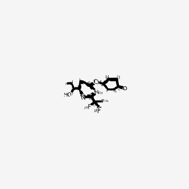 CCC(O)c1cc(OC2CCC(=O)CC2)nc(C(F)(F)F)n1